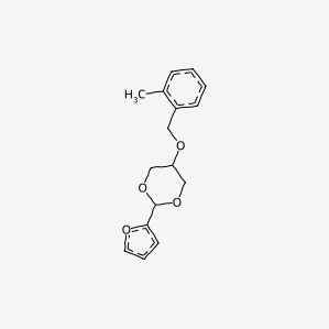 Cc1ccccc1COC1COC(c2ccco2)OC1